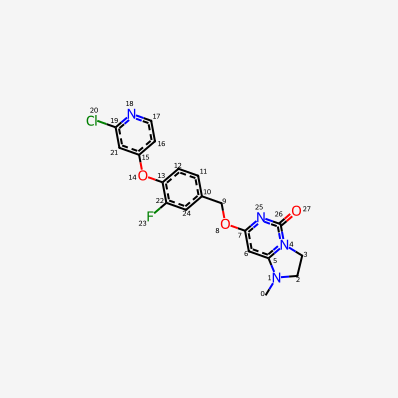 CN1CCn2c1cc(OCc1ccc(Oc3ccnc(Cl)c3)c(F)c1)nc2=O